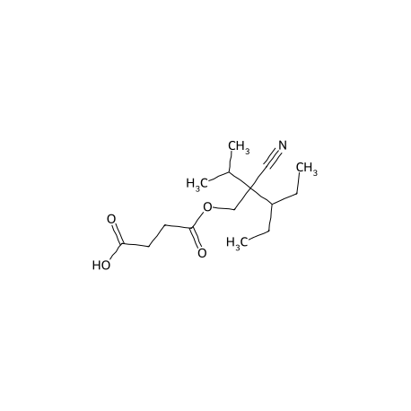 CCC(CC)C(C#N)(COC(=O)CCC(=O)O)C(C)C